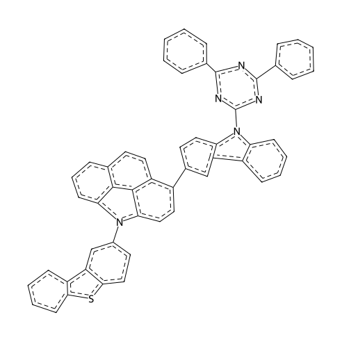 c1ccc(-c2nc(-c3ccccc3)nc(-n3c4ccccc4c4cc(-c5ccc6c7c5ccc5cccc(c57)n6-c5ccc6sc7ccccc7c6c5)ccc43)n2)cc1